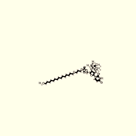 CCCCCCCCCCCCCCCCOCCCOP(=O)(O)OC[C@H]1O[C@@H](n2ccc(=O)[nH]c2=O)[C@H](F)[C@@H]1O[Si](C)(C)C(C)(C)C